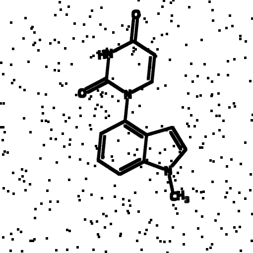 Cn1ccc2c(-n3ccc(=O)[nH]c3=O)cccc21